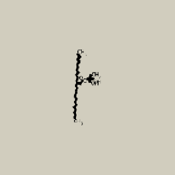 CCCCCCCCCCCCCCC(CCCCCCCCCCCC)CC(=O)OCC(CC)(CO)CO